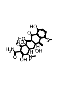 C=C1c2c(SC)ccc(O)c2C(=O)C2=C(O)[C@]3(O)C(=O)C(C(N)=O)=C(O)[C@@H](N(C)C)[C@@H]3[C@@H](O)[C@H]12